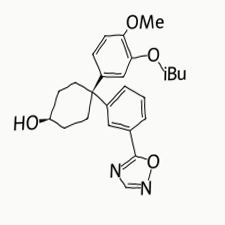 CCC(C)Oc1cc([C@]2(c3cccc(-c4ncno4)c3)CC[C@H](O)CC2)ccc1OC